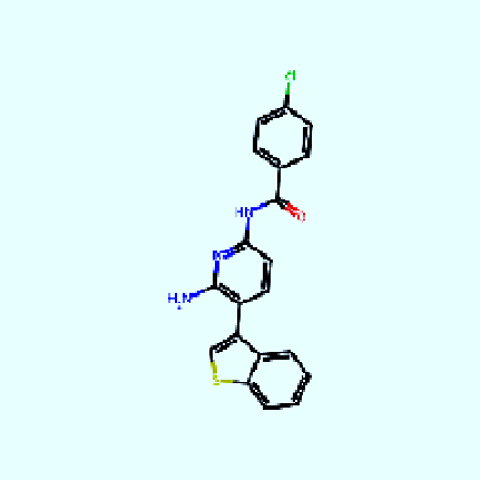 Nc1nc(NC(=O)c2ccc(Cl)cc2)ccc1-c1csc2ccccc12